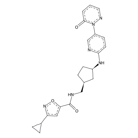 O=C(NC[C@H]1CC[C@@H](Nc2ccc(-n3ncccc3=O)cn2)C1)c1cc(C2CC2)no1